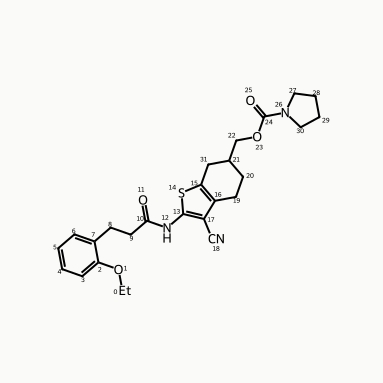 CCOc1ccccc1CCC(=O)Nc1sc2c(c1C#N)CCC(COC(=O)N1CCCC1)C2